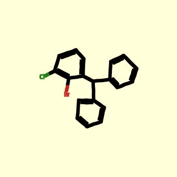 Clc1cccc(C(c2ccccc2)c2ccccc2)c1Br